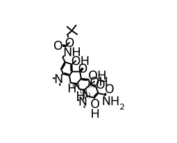 CN(C)c1cc(CNC(=O)OCC(C)(C)C)c(O)c2c1C[C@H]1C[C@H]3[C@H](N(C)C)C(O)=C(C(N)=O)C(=O)[C@@]3(O)C(O)=C1C2=O